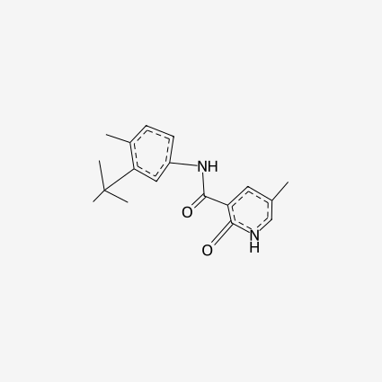 Cc1c[nH]c(=O)c(C(=O)Nc2ccc(C)c(C(C)(C)C)c2)c1